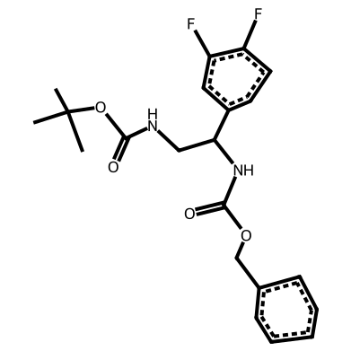 CC(C)(C)OC(=O)NCC(NC(=O)OCc1ccccc1)c1ccc(F)c(F)c1